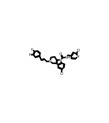 O=C(NCc1ccnc(Cl)c1)n1c2c(c3cc(Cl)ccc31)CN(C/C=C/c1ccc(F)c(F)c1)CC2